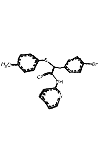 Cc1ccc(SC(C(=O)Nc2ccccn2)c2ccc(Br)cc2)cc1